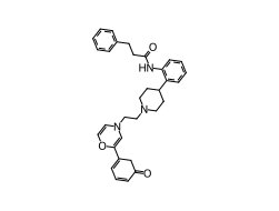 O=C1C=CC=C(C2=CN(CCN3CCC(c4ccccc4NC(=O)CCc4ccccc4)CC3)C=CO2)C1